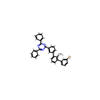 Cc1c(-c2cccc(Br)c2)cccc1-c1cccc(-c2nc(-c3ccccc3)nc(-c3ccccc3)n2)c1